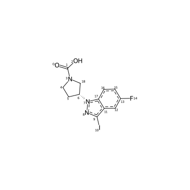 O=C(O)N1CC[C@@H](n2nc(I)c3cc(F)ccc32)C1